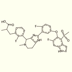 CC(Cc1cccc(C2c3nc(-c4cc(Oc5c(F)cc6[nH]ccc6c5S(C)(=O)=O)ccc4F)[nH]c3CCN2C)c1F)C(=O)O